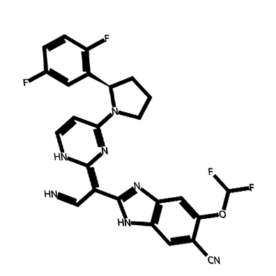 N#Cc1cc2[nH]c(/C(C=N)=C3\N=C(N4CCC[C@@H]4c4cc(F)ccc4F)C=CN3)nc2cc1OC(F)F